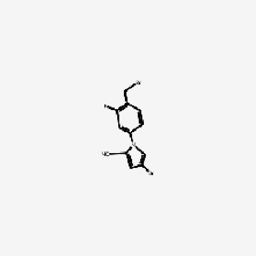 N#Cc1cc(Br)cn1-c1ccc(CBr)c(F)c1